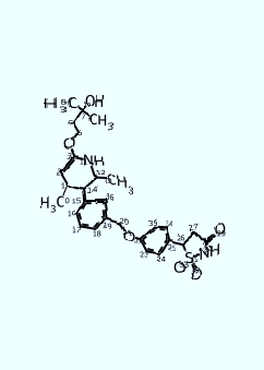 CC1C=C(OCCC(C)(C)O)NC(C)C1c1cccc(COc2ccc(C3CC(=O)NS3(=O)=O)cc2)c1